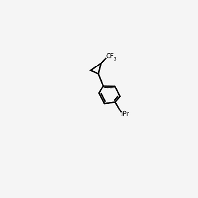 CC(C)c1ccc(C2CC2C(F)(F)F)cc1